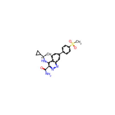 C[C@@H](Nc1c(C(N)=O)nnc2cc(-c3ccc(S(C)(=O)=O)cc3)ccc12)C1CC1